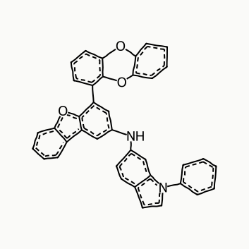 c1ccc(-n2ccc3ccc(Nc4cc(-c5cccc6c5Oc5ccccc5O6)c5oc6ccccc6c5c4)cc32)cc1